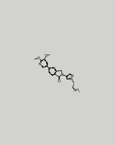 COc1cc(-c2ccc3c(c2)CN(c2cnn(CCN)c2)C3=O)cnc1OC